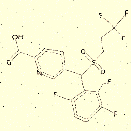 O=C(O)c1ccc(C(c2c(F)ccc(F)c2F)S(=O)(=O)CCC(F)(F)F)cn1